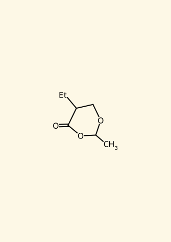 CCC1COC(C)OC1=O